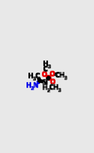 COC(OC)(OC)[SiH2]C(C)N